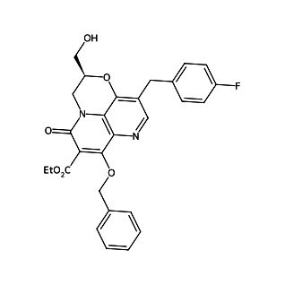 CCOC(=O)c1c(OCc2ccccc2)c2ncc(Cc3ccc(F)cc3)c3c2n(c1=O)C[C@@H](CO)O3